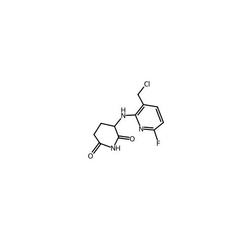 O=C1CCC(Nc2nc(F)ccc2CCl)C(=O)N1